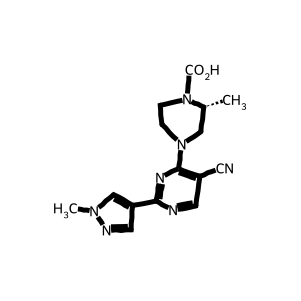 C[C@@H]1CN(c2nc(-c3cnn(C)c3)ncc2C#N)CCN1C(=O)O